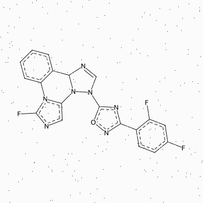 Fc1ccc(-c2noc(N3C=NC4c5ccccc5-n5c(cnc5F)N43)n2)c(F)c1